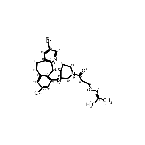 CC(C)=NOCCC(=O)N1CCC([C@H]2c3ncc(Br)cc3CCc3cc(Cl)cc(Br)c32)CC1